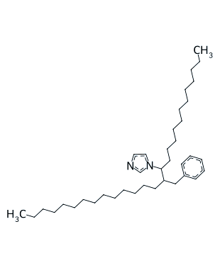 CCCCCCCCCCCCCCC(Cc1ccccc1)C(CCCCCCCCCCCC)n1ccnc1